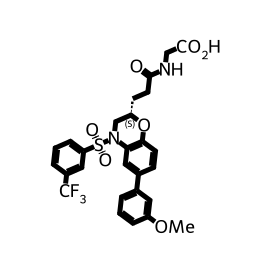 COc1cccc(-c2ccc3c(c2)N(S(=O)(=O)c2cccc(C(F)(F)F)c2)C[C@H](CCC(=O)NCC(=O)O)O3)c1